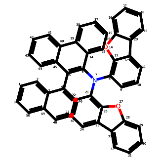 c1ccc2c(-c3c(N(c4cccc5c4oc4ccccc45)c4cccc5c4oc4ccccc45)c4ccccc4c4ccccc34)cccc2c1